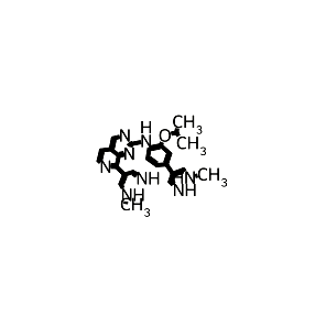 CN/C=C(\C=N)c1ccc(Nc2ncc3ccnc(/C(C=N)=C/NC)c3n2)c(OC(C)C)c1